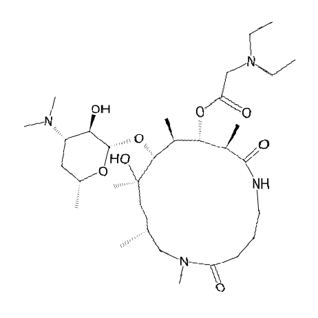 CCN(CC)CC(=O)O[C@H]1[C@H](C)[C@@H](O[C@@H]2O[C@H](C)C[C@H](N(C)C)[C@H]2O)[C@](C)(O)C[C@@H](C)CN(C)C(=O)CCCNC(=O)[C@@H]1C